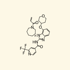 C=CC(=O)N1CCCC[C@@H](n2c(NC(=O)c3ccnc(C(F)(F)F)c3)nc3cccc(OC4CCOCC4)c32)C1